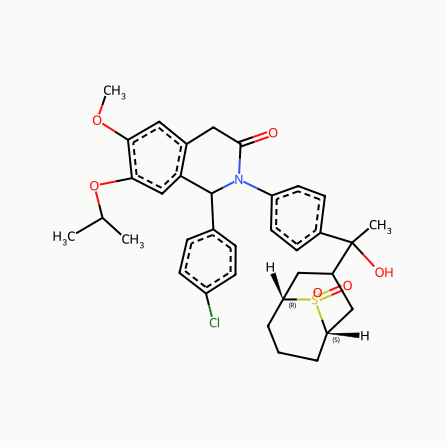 COc1cc2c(cc1OC(C)C)C(c1ccc(Cl)cc1)N(c1ccc(C(C)(O)C3C[C@H]4CCC[C@@H](C3)S4(=O)=O)cc1)C(=O)C2